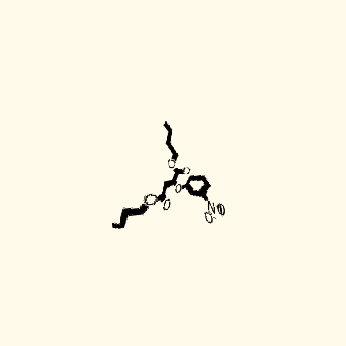 CCCCOC(=O)/C=C(\Oc1cccc([N+](=O)[O-])c1)C(=O)OCCCC